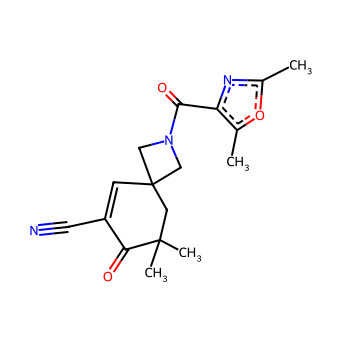 Cc1nc(C(=O)N2CC3(C=C(C#N)C(=O)C(C)(C)C3)C2)c(C)o1